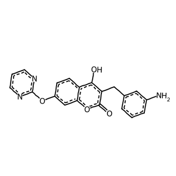 Nc1cccc(Cc2c(O)c3ccc(Oc4ncccn4)cc3oc2=O)c1